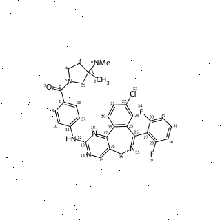 CNC1(C)CCN(C(=O)c2ccc(Nc3ncc4c(n3)-c3ccc(Cl)cc3C(c3c(F)cccc3F)=NC4)cc2)C1